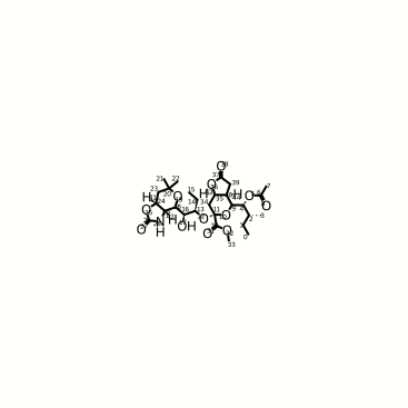 CC[C@@H](C)[C@@H](OC(C)=O)C1O[C@@](O[C@H](CC)[C@@H](O)C2OC(C)(C)C[C@H]3OC(=O)N[C@@H]23)(C(=O)OC)C[C@H]2OC(=O)C[C@@H]12